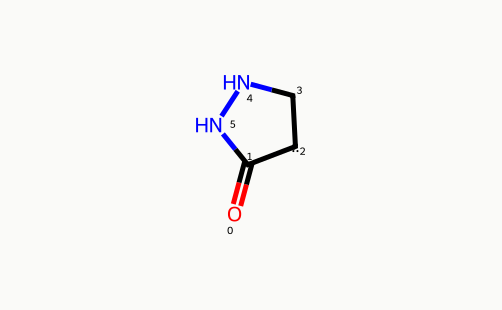 O=C1[C]CNN1